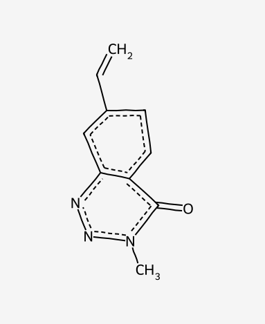 C=Cc1ccc2c(=O)n(C)nnc2c1